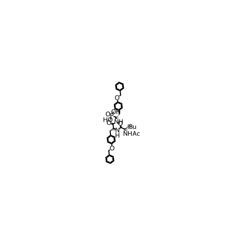 CC[C@H](C)[C@H](NC(C)=O)C(=O)N[C@@H](Cc1ccc(OCc2ccccc2)cc1)C(=O)N[C@@H](Cc1ccc(OCc2ccccc2)cc1)P(=O)(O)O